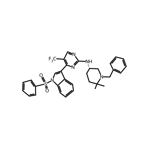 CC1(C)CC[C@H](Nc2ncc(C(F)(F)F)c(-c3cn(S(=O)(=O)c4ccccc4)c4ccccc34)n2)CN1Cc1ccccc1